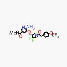 CNC(=O)c1cnc(N)c(OC[C@@H]2CN(C(=O)Cc3ccc(OC(F)(F)F)cc3)CC2(F)F)c1